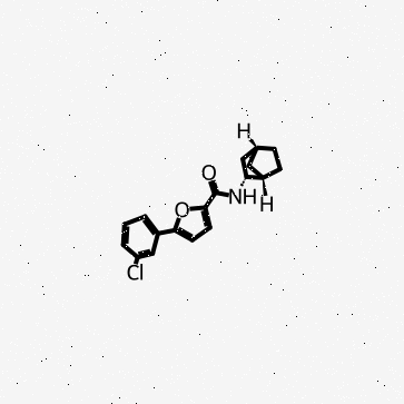 O=C(N[C@@H]1C[C@@H]2CC[C@H]1C2)c1ccc(-c2cccc(Cl)c2)o1